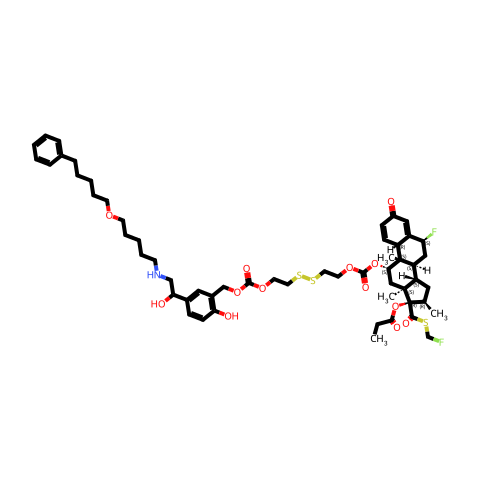 CCC(=O)O[C@]1(C(=O)SCF)[C@H](C)C[C@H]2[C@@H]3C[C@H](F)C4=CC(=O)C=C[C@@H]4[C@@]3(C)[C@@H](OC(=O)OCCSSCCOC(=O)OCc3cc(C(O)CNCCCCCOCCCCCc4ccccc4)ccc3O)C[C@@]21C